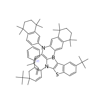 C=C/C(C)=C\C1=C2B(c3cc4c(cc3N1c1ccc3c(c1)C(C)(C)CCC3(C)C)C(C)(C)CCC4(C)C)c1c(sc3ccc(C(C)(C)C)cc13)N2C1=C(c2ccccc2)CC(C)(C(C)(C)C)C=C1